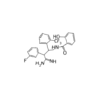 N=C(N)C(c1cccc(F)c1)C(CNC(=O)c1ccccc1O)c1ccccc1C(F)(F)F